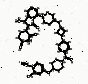 N#Cc1ccc(OC2CCN(C(=O)c3ccc(C4CN(CC5CCN(c6cccc7c6C(=O)N(C6CCC(=O)NC6=O)C7O)CC5)C4)cc3)CC2)cc1Cl